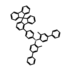 Cc1cc(-c2ccccc2)ccc1N(c1ccc(-c2cccc3c2-c2ccccc2C32c3ccccc3-c3ccccc32)cc1)c1ccc(-c2ccccc2)cc1C